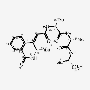 CC[C@H](C)[C@H](NC(=O)[C@@H](NC(=O)[C@@H](NC(=O)C=C1c2ccccc2C(=O)N[C@H]1[C@@H](C)CC)[C@@H](C)CC)[C@@H](C)CC)C(=O)O